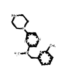 Cc1cccc(CN(C)c2cncc(N3CCNCC3)n2)n1